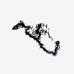 CC(CC(=O)OC(CCCCCCCC/C=C\C/C=C\CC(=O)OCc1ccccc1)CCCCCCCC/C=C\C/C=C\CC(=O)OCc1ccccc1)CC(C)(C)CCN(C)C